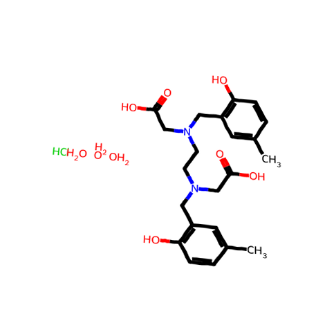 Cc1ccc(O)c(CN(CCN(CC(=O)O)Cc2cc(C)ccc2O)CC(=O)O)c1.Cl.O.O.O